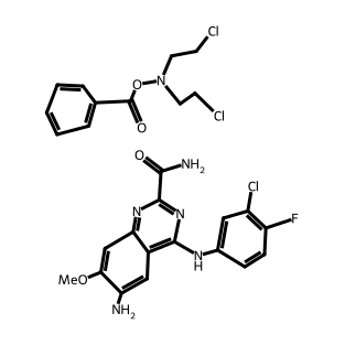 COc1cc2nc(C(N)=O)nc(Nc3ccc(F)c(Cl)c3)c2cc1N.O=C(ON(CCCl)CCCl)c1ccccc1